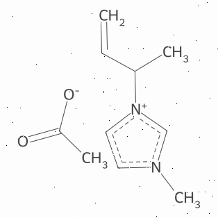 C=CC(C)[n+]1ccn(C)c1.CC(=O)[O-]